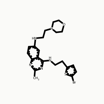 Cc1nc(NCCc2ccc(Br)s2)c2cc(NCCN3CCOCC3)ccc2n1